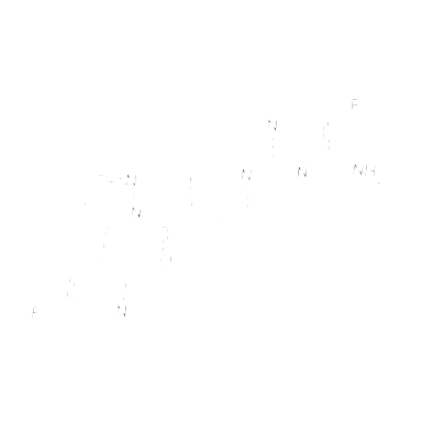 Nc1nc(N2CCC(C(=O)N3N=CCC3c3cncc(F)c3)CC2)ncc1F